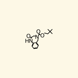 CC(C)(C)CCOC(=O)N1CC(=O)Nc2ccccc2C1